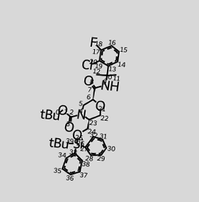 CC(C)(C)OC(=O)N1C[C@@H](C(=O)NC(C)(C)c2cccc(F)c2Cl)OC[C@H]1CO[Si](c1ccccc1)(c1ccccc1)C(C)(C)C